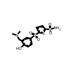 CN(C)Cc1cc(S(=O)(=O)c2ccc(S(N)(=O)=O)s2)ccc1O